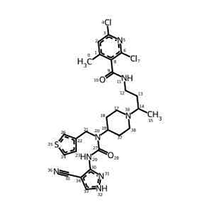 Cc1cc(Cl)nc(Cl)c1C(=O)NCCC(C)N1CCC(N(Cc2ccsc2)C(=O)Nc2n[nH]cc2C#N)CC1